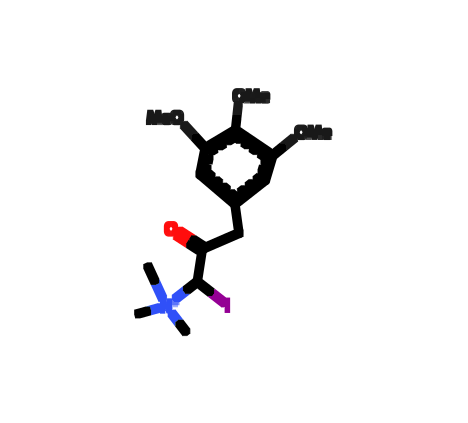 COc1cc(CC(=O)C(I)[N+](C)(C)C)cc(OC)c1OC